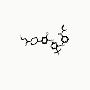 C=CC(=O)Nc1cccc(Nc2nc(Nc3ccc(C4CCN(C(=O)CCF)CC4)cc3OC)ncc2C(F)(F)F)c1